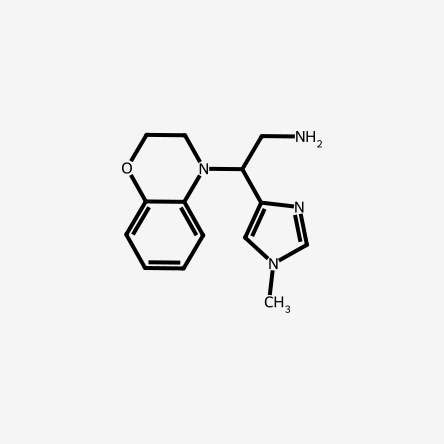 Cn1cnc(C(CN)N2CCOc3ccccc32)c1